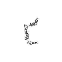 CCCCCCCCCCCCCC(=O)OCOc1ccc2ccc(OCCCCN3CCN(c4cccc5sccc45)CC3)cc2n1